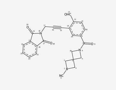 N#CB1CC2(C1)CN(C(=O)c1ccc(C=O)c(C#CCN3C(=O)c4ccccc4C3=O)c1)C2